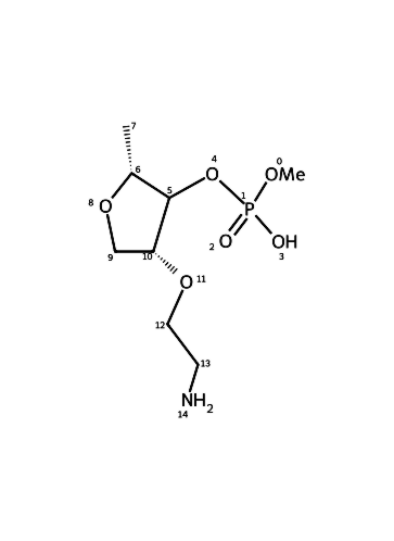 COP(=O)(O)OC1[C@@H](C)OC[C@H]1OCCN